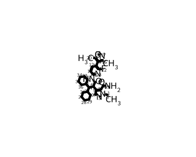 CCn1ncc(C(C(=O)Nc2ccc(-c3c(C)noc3C)c(F)n2)C(C2CCCCC2)C2CCCCC2)c1C(N)=O